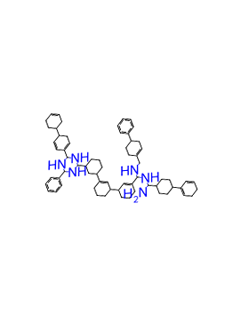 NC(NC(NCC1=CCC(c2ccccc2)CC1)C1=CC(C2C=C(C3CCCC(C4NC(C5=CCC(C6CC=CCC6)C=C5)NC(c5ccccc5)N4)C3)CCC2)CCC1)C1CCC(C2=CCCC=C2)CC1